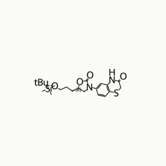 CC(C)(C)[Si](C)(C)OCCC[C@@H]1CN(c2ccc3c(c2)NC(=O)CS3)C(=O)O1